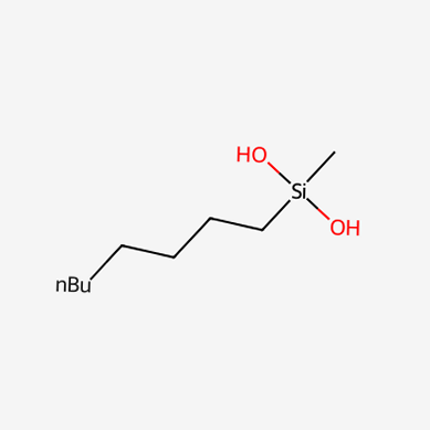 CCCCCCCC[Si](C)(O)O